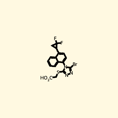 O=C(O)CSc1nnc(Br)n1-c1ccc(C2CC2(F)F)c2ccccc12